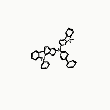 CS1(C)c2ccccc2-c2ccc(N(c3ccc(-c4ccccc4)cc3)c3ccc4c(ccc5c6ccccc6n(-c6ccccc6)c45)c3)cc21